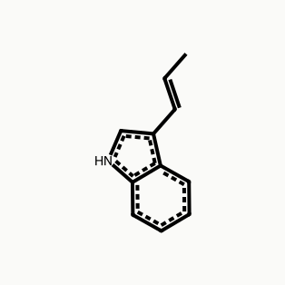 CC=Cc1c[nH]c2ccccc12